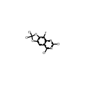 Fc1c2c(cc3c(Cl)nc(Cl)nc13)OC(Cl)(Cl)O2